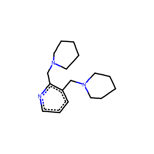 c1cnc(CN2CCCCC2)c(CN2CCCCC2)c1